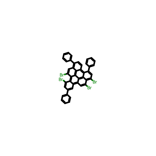 Brc1cc(-c2ccccc2)c2c3ccc(-c4ccccc4)c4cc(Br)c5c6c(Br)cc(-c7ccccc7)cc6c6cc(Br)c1c2c6c5c43